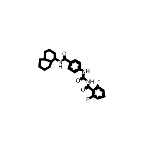 O=C(NC(=O)c1c(F)cccc1F)Nc1ccc(C(=O)NC2CCCC3CCCCC32)cc1